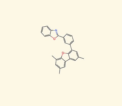 Cc1cc(C)c2oc3c(-c4cccc(-c5nc6ccccc6o5)c4)cc(C)cc3c2c1